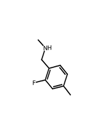 CNCc1ccc(C)cc1F